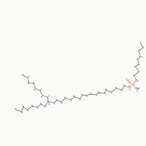 CCCCCCCCCOP(=O)(O)OCCCCCCCCCCCCCCCCCCN(CCCCCCCC)CCCCCCCC